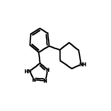 c1ccc(C2CCNCC2)c(-c2nnn[nH]2)c1